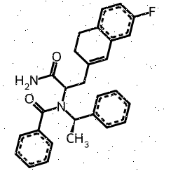 C[C@H](c1ccccc1)N(C(=O)c1ccccc1)C(CC1=Cc2cc(F)ccc2CC1)C(N)=O